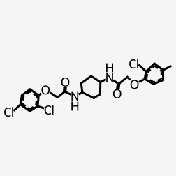 Cc1ccc(OCC(=O)NC2CCC(NC(=O)COc3ccc(Cl)cc3Cl)CC2)c(Cl)c1